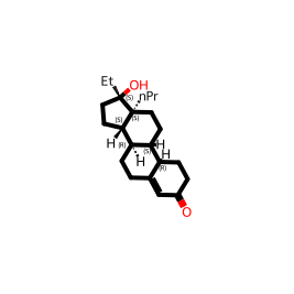 CCC[C@]12CC[C@H]3[C@@H](CCC4=CC(=O)CC[C@@H]43)[C@@H]1CC[C@@]2(O)CC